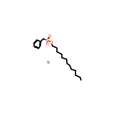 CCCCCCCCCCCCCOS(=O)(=O)Cc1ccccc1.[Ti]